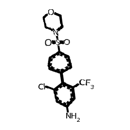 Nc1cc(Cl)c(-c2ccc(S(=O)(=O)N3CCOCC3)cc2)c(C(F)(F)F)c1